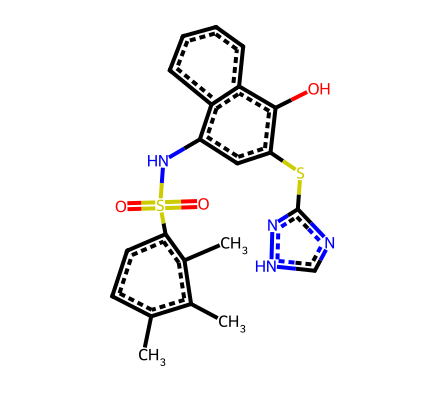 Cc1ccc(S(=O)(=O)Nc2cc(Sc3nc[nH]n3)c(O)c3ccccc23)c(C)c1C